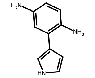 Nc1ccc(N)c(-c2cc[nH]c2)c1